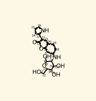 O=c1oc2cc(NC3C(O)OC(CO)[C@@H](O)[C@@H]3O)ccc2cc1-c1ccc[nH]1